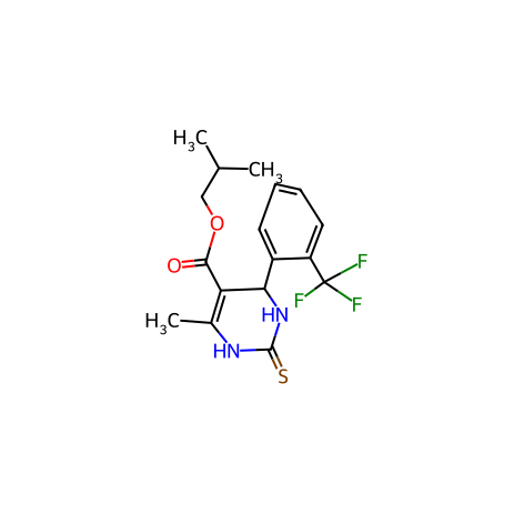 CC1=C(C(=O)OCC(C)C)C(c2ccccc2C(F)(F)F)NC(=S)N1